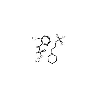 Cc1cccnc1NS(=O)(=O)[O-].O=S(=O)([O-])NCCN1CCCCC1.[Na+].[Na+]